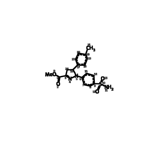 COC(=O)C1=NN(c2ccc(S(N)(=O)=O)cc2)C(c2ccc(C)cc2)C1